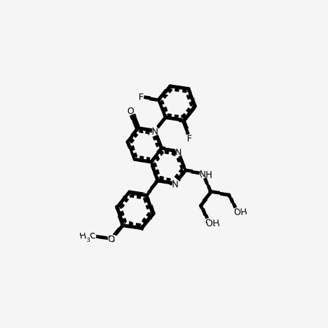 COc1ccc(-c2nc(NC(CO)CO)nc3c2ccc(=O)n3-c2c(F)cccc2F)cc1